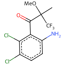 COC(C)(C(=O)c1c(N)ccc(Cl)c1Cl)C(F)(F)F